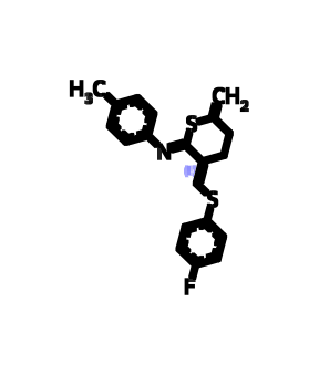 C=C1CC/C(=C\Sc2ccc(F)cc2)C(=Nc2ccc(C)cc2)S1